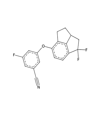 N#Cc1cc(F)cc(Oc2ccc3c4c2CCC4CC3(F)F)c1